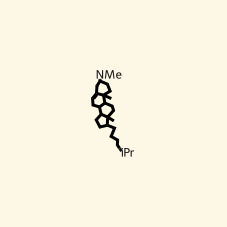 CNC1CCC2(C)C(=CCC3C2CCC2(C)C(CCCCC(C)C)CCC32)C1